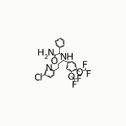 NC(=O)C(NC(CCc1ccc(Cl)cn1)c1ccc(OC(F)F)c(OC(F)F)c1)c1ccccc1